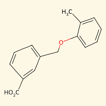 Cc1ccccc1OCc1cccc(C(=O)O)c1